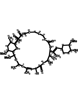 CCC1C=C(C)CC(C)CC(OC)C2OC(O)(C(=O)C(=O)NCCCCCC(=O)OC(C(C)=CC3CCC(O)C(OC)C3)C(C)C(O)CC1=O)C(C)CC2OC